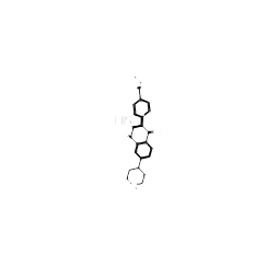 CC1(C)c2cc(C3CCNCC3)ccc2C(=O)c2c1[nH]c1cc(C#N)ccc21